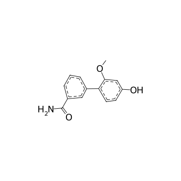 COc1cc(O)ccc1-c1cccc(C(N)=O)c1